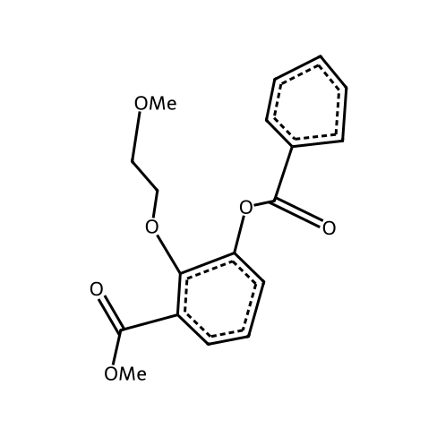 COCCOc1c(OC(=O)c2ccccc2)cccc1C(=O)OC